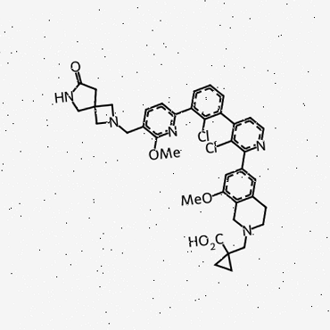 COc1cc(-c2nccc(-c3cccc(-c4ccc(CN5CC6(CNC(=O)C6)C5)c(OC)n4)c3Cl)c2Cl)cc2c1CN(CC1(C(=O)O)CC1)CC2